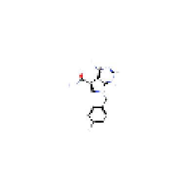 NC(=O)c1cn(Cc2ccc([N+](=O)[O-])cc2)c2ncnc(N)c12